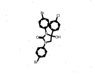 O=C1N(c2ccc(Br)cc2)CC(O)(c2ccc(Cl)cc2)N1c1ccc(Br)cc1